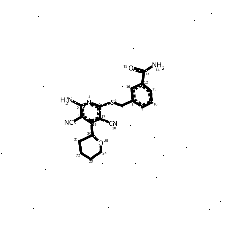 N#Cc1c(N)nc(SCc2cccc(C(N)=O)c2)c(C#N)c1C1CCCCO1